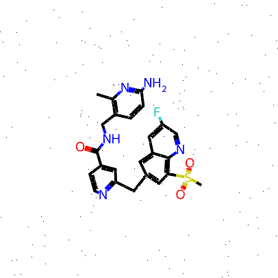 Cc1nc(N)ccc1CNC(=O)c1ccnc(Cc2cc(S(C)(=O)=O)c3ncc(F)cc3c2)c1